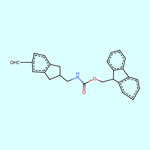 O=Cc1ccc2c(c1)CC(CNC(=O)OCC1c3ccccc3-c3ccccc31)C2